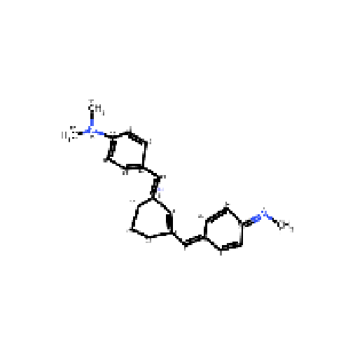 CN=C1C=CC(=CC2=C/C(=C/c3ccc(N(C)C)cc3)CCC2)C=C1